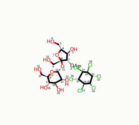 CC(=O)O[C@H]1[C@H](O)[C@@H](CO)O[C@@]1(CO)O[C@H]1O[C@H](CO)[C@@H](O)[C@H](O)[C@H]1O.Cl[C@H]1[C@H](Cl)[C@@H](Cl)[C@@H](Cl)[C@H](Cl)[C@H]1Cl